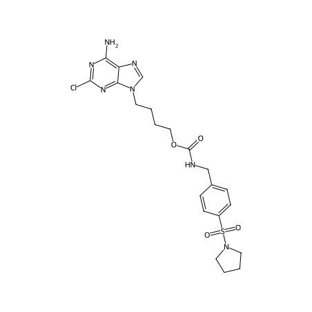 Nc1nc(Cl)nc2c1ncn2CCCCOC(=O)NCc1ccc(S(=O)(=O)N2CCCC2)cc1